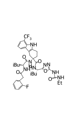 CCNC(=O)Nc1nnc([C@@H](NC(=O)[C@]2(NC(=O)[C@@H](NC(=O)Cc3ccccc3F)C(C)CC)CCc3[nH]c4c(C(F)(F)F)cccc4c3C2)C(C)CC)o1